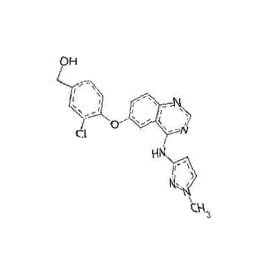 Cn1ccc(Nc2ncnc3ccc(Oc4ccc(CO)cc4Cl)cc23)n1